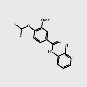 COc1cc(C(=O)Nc2cccnc2Cl)ccc1OC(F)F